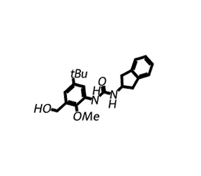 COc1c(CO)cc(C(C)(C)C)cc1NC(=O)NC1Cc2ccccc2C1